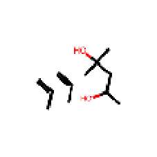 C=CC.C=CC.CC(O)CC(C)(C)O